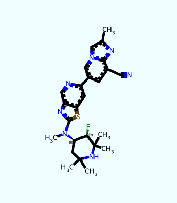 Cc1cn2cc(-c3cc4sc(N(C)[C@@H]5CC(C)(C)NC(C)(C)[C@@H]5F)nc4cn3)cc(C#N)c2n1